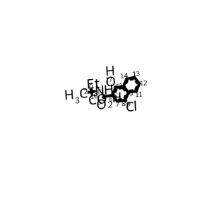 CCC(C)(NC(=O)c1cc(Cl)c2ccccc2c1O)C(=O)O